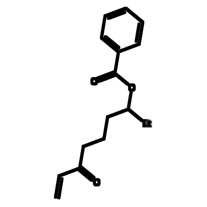 C=CC(=O)CCCC(CC)OC(=O)c1ccccc1